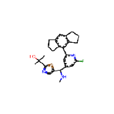 CNC(c1cc(F)nc(-c2c3c(cc4c2CCC4)CCC3)c1)c1cnc(C(C)(C)O)s1